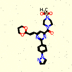 CS(=O)(=O)N1CCN(C(=O)c2cc(/C=C/C3OCCCO3)nc(-c3ccc(-n4cccn4)cc3)n2)CC1